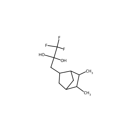 CC1C2CC(CC(O)(O)C(F)(F)F)C(C2)C1C